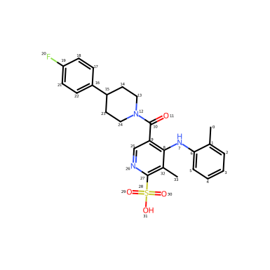 Cc1ccccc1Nc1c(C(=O)N2CCC(c3ccc(F)cc3)CC2)cnc(S(=O)(=O)O)c1C